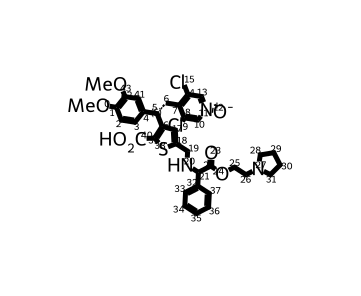 COc1ccc([C@H](Cc2c(Cl)c[n+]([O-])cc2Cl)c2cc(CNC(C(=O)OCCN3CCCC3)c3ccccc3)sc2C(=O)O)cc1OC